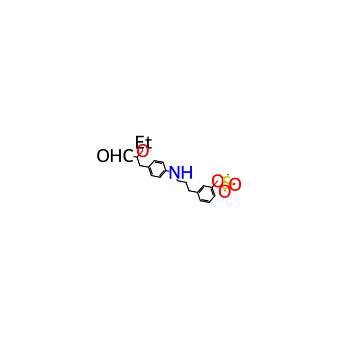 CCOC(C=O)Cc1ccc(NCCCc2cccc(OS(C)(=O)=O)c2)cc1